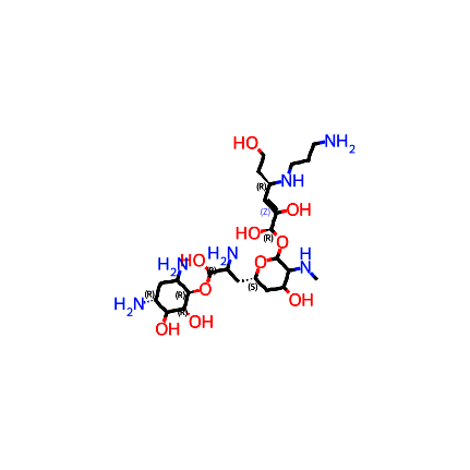 CNC1C(O)C[C@H](CC(N)[C@H](O)O[C@@H]2C(N)C[C@@H](N)C(O)[C@H]2O)OC1O[C@@H](O)/C(O)=C/[C@@H](CCO)NCCCN